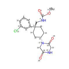 CC(C)(C)OC(=O)NC[C@]1(c2cccc(Cl)c2)CC[C@@H](N2CC(=O)NCC2=O)CC1